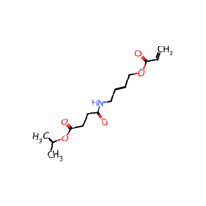 C=CC(=O)OCCCCNC(=O)CCC(=O)OC(C)C